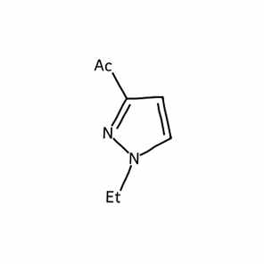 CCn1ccc(C(C)=O)n1